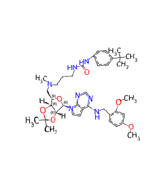 COc1ccc(CNc2ncnc3c2ccn3[C@@H]2O[C@H](CN(C)CCCNC(=O)Nc3ccc(C(C)(C)C)cc3)[C@H]3OC(C)(C)O[C@H]32)c(OC)c1